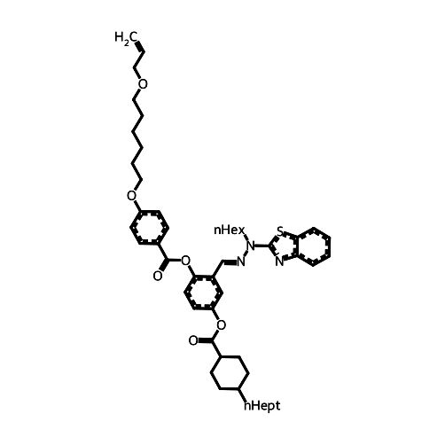 C=CCOCCCCCCOc1ccc(C(=O)Oc2ccc(OC(=O)C3CCC(CCCCCCC)CC3)cc2C=NN(CCCCCC)c2nc3ccccc3s2)cc1